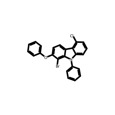 Clc1cccc2c1c1ccc(Oc3ccccc3)c(Br)c1n2-c1ccccc1